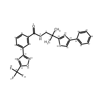 CC(C)(CNC(=O)c1cccc(-c2noc(C(F)(F)F)n2)c1)c1nc(-c2ccccc2)cs1